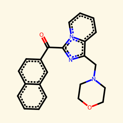 O=C(c1ccc2ccccc2c1)c1nc(CN2CCOCC2)c2ccccn12